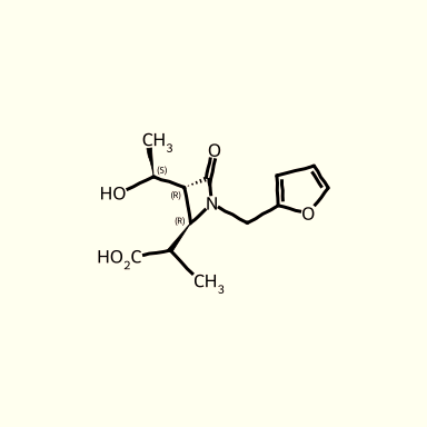 CC(C(=O)O)[C@H]1[C@H]([C@H](C)O)C(=O)N1Cc1ccco1